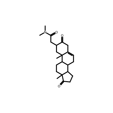 CN(C)C(=O)CC1CC2(C)C(=CCC3C4CCC(=O)C4(C)CCC32)CC1=O